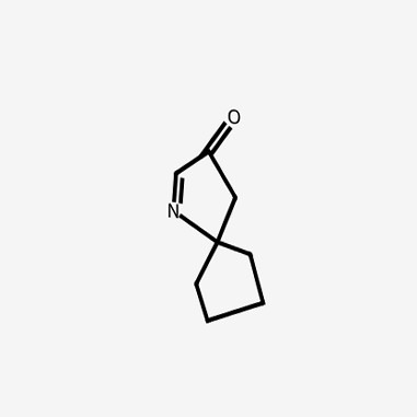 O=C1C=NC2(CCCC2)C1